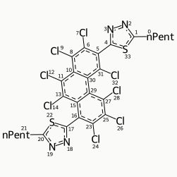 CCCCCc1nnc(-c2c(Cl)c(Cl)c3c(Cl)c(Cl)c4c(-c5nnc(CCCCC)s5)c(Cl)c(Cl)c(Cl)c4c3c2Cl)s1